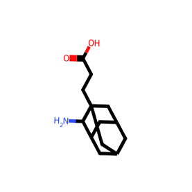 NC1C2CC3CC(C2)CC1(CCC(=O)O)C3